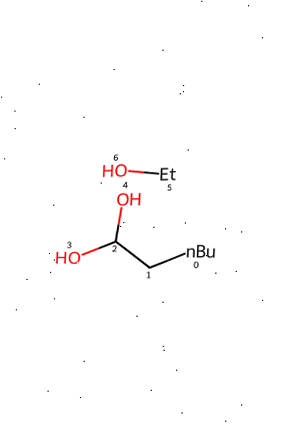 CCCCCC(O)O.CCO